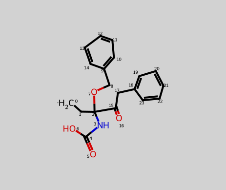 [CH2]CC(NC(=O)O)(OCc1ccccc1)C(=O)Cc1ccccc1